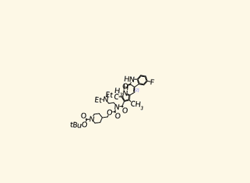 CCN(CC)CCN(C(=O)OCC1CCN(C(=O)OC(C)(C)C)CC1)C(=O)c1c(C)[nH]c(/C=C2\C(=O)Nc3ccc(F)cc32)c1C